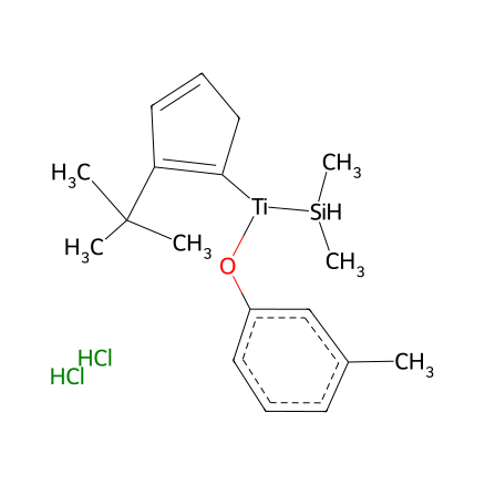 Cc1cccc([O][Ti]([C]2=C(C(C)(C)C)C=CC2)[SiH](C)C)c1.Cl.Cl